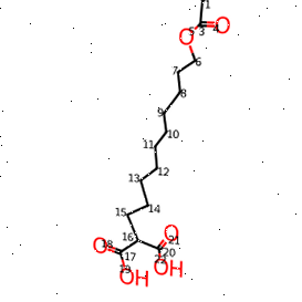 C=C(C)C(=O)OCCCCCCCCCCC(C(=O)O)C(=O)O